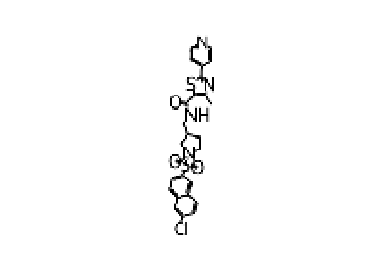 Cc1nc(-c2ccncc2)sc1C(=O)NCC1CCN(S(=O)(=O)c2ccc3cc(Cl)ccc3c2)C1